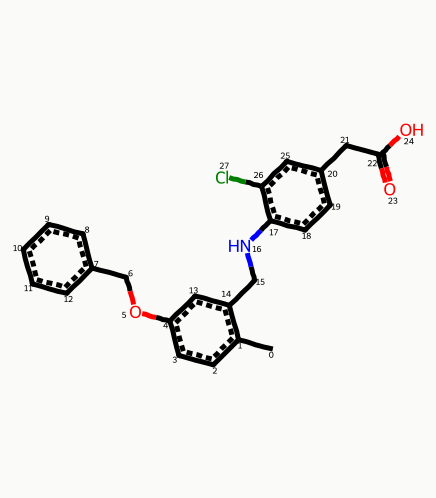 Cc1ccc(OCc2ccccc2)cc1CNc1ccc(CC(=O)O)cc1Cl